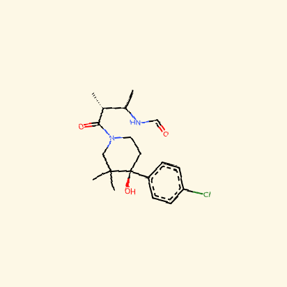 CC(NC=O)[C@@H](C)C(=O)N1CC[C@](O)(c2ccc(Cl)cc2)C(C)(C)C1